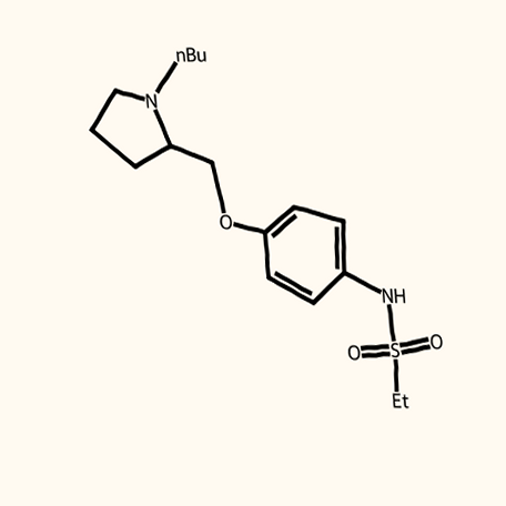 CCCCN1CCCC1COc1ccc(NS(=O)(=O)CC)cc1